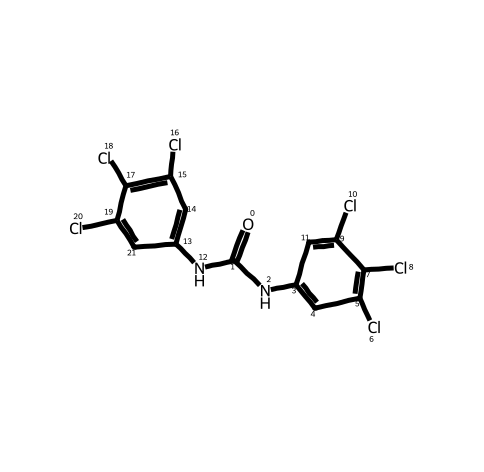 O=C(Nc1cc(Cl)c(Cl)c(Cl)c1)Nc1cc(Cl)c(Cl)c(Cl)c1